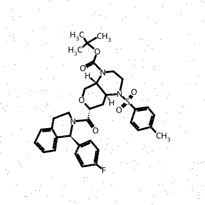 Cc1ccc(S(=O)(=O)N2CCN(C(=O)OC(C)(C)C)[C@H]3CO[C@@H](C(=O)N4CCc5ccccc5[C@@H]4c4ccc(F)cc4)C[C@@H]32)cc1